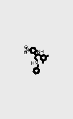 Cc1cc(C)cc(-c2[nH]c3ccc([N+](=O)[O-])cc3c2CCNCc2ccccc2)c1